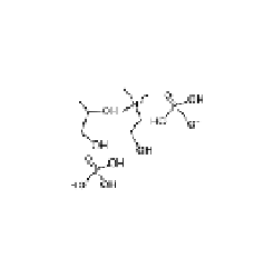 CC(O)CO.C[N+](C)(C)CCO.O=P(O)(O)O.O=P([O-])(O)O